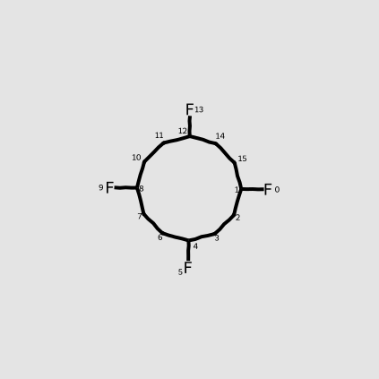 FC1CCC(F)CCC(F)CCC(F)CC1